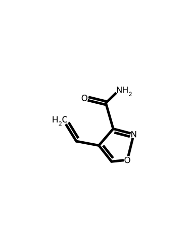 C=Cc1conc1C(N)=O